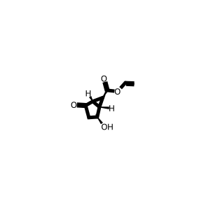 C=COC(=O)[C@@H]1[C@H]2C(=O)C[C@H](O)[C@H]21